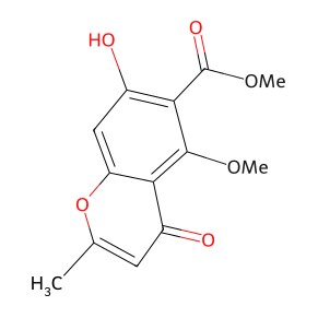 COC(=O)c1c(O)cc2oc(C)cc(=O)c2c1OC